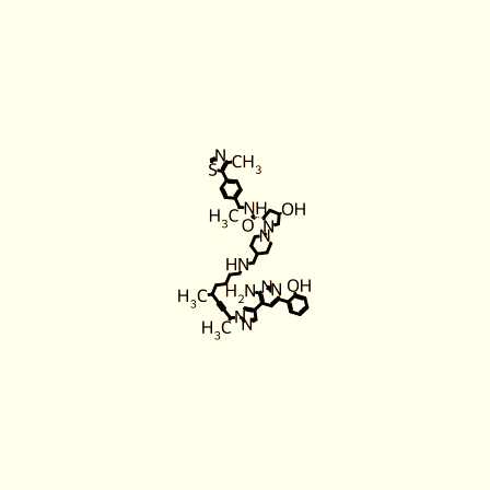 Cc1ncsc1-c1ccc([C@H](C)NC(=O)[C@@H]2C[C@@H](O)CN2N2CCC(CNCCCCC(C)C#CC(C)n3cc(-c4cc(-c5ccccc5O)nnc4N)cn3)CC2)cc1